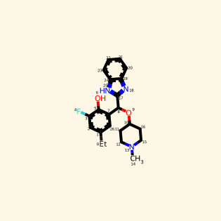 CCc1cc(F)c(O)c(C(OC2CCN(C)CC2)c2nc3ccccc3[nH]2)c1